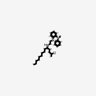 CCCCCCCCCC(CCC(C)Cl)NCC[N]c1ccccc1N(C)c1ccccc1